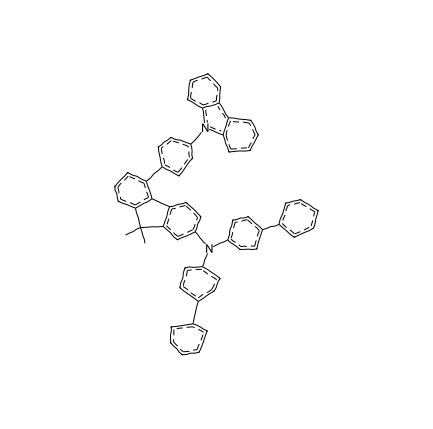 CC1(C)c2cc(N(c3ccc(-c4ccccc4)cc3)c3ccc(-c4ccccc4)cc3)ccc2-c2c(-c3ccc(-n4c5ccccc5c5ccccc54)cc3)cccc21